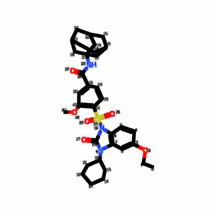 CCOc1ccc2c(c1)n(C1CCCCC1)c(=O)n2S(=O)(=O)c1ccc(C(=O)NC23CC4CC(CC(C4)C2)C3)cc1OC